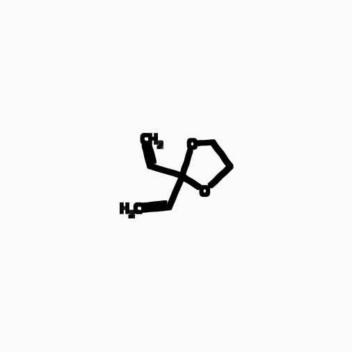 C=CC1(C=C)OCCO1